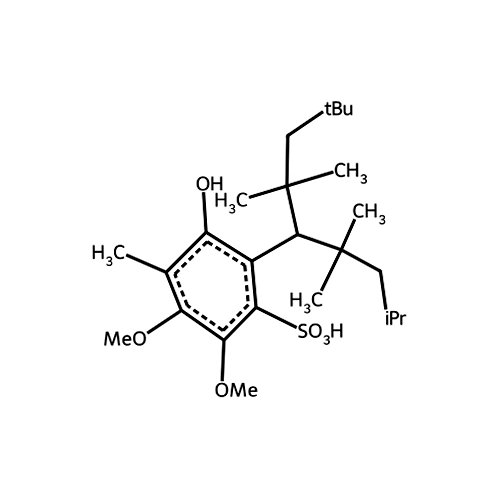 COc1c(C)c(O)c(C(C(C)(C)CC(C)C)C(C)(C)CC(C)(C)C)c(S(=O)(=O)O)c1OC